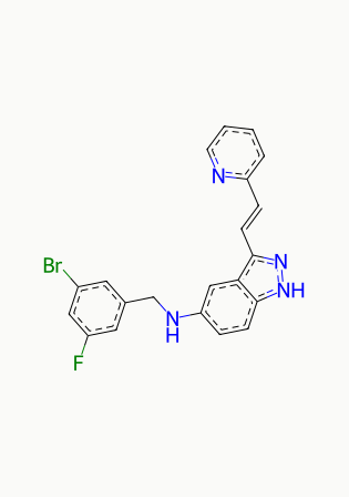 Fc1cc(Br)cc(CNc2ccc3[nH]nc(/C=C/c4ccccn4)c3c2)c1